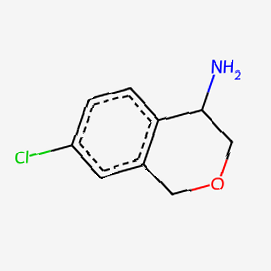 NC1COCc2cc(Cl)ccc21